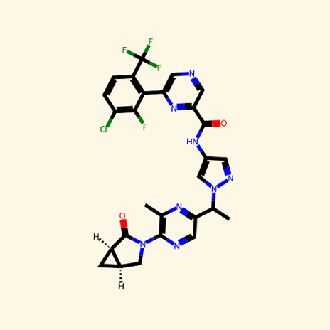 Cc1nc(C(C)n2cc(NC(=O)c3cncc(-c4c(C(F)(F)F)ccc(Cl)c4F)n3)cn2)cnc1N1C[C@H]2C[C@H]2C1=O